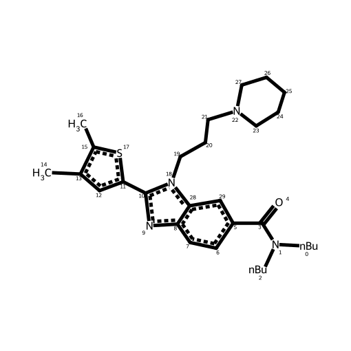 CCCCN(CCCC)C(=O)c1ccc2nc(-c3cc(C)c(C)s3)n(CCCN3CCCCC3)c2c1